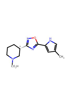 Cc1c[nH]c(-c2nc([C@H]3CCCN(C(=O)O)C3)no2)c1